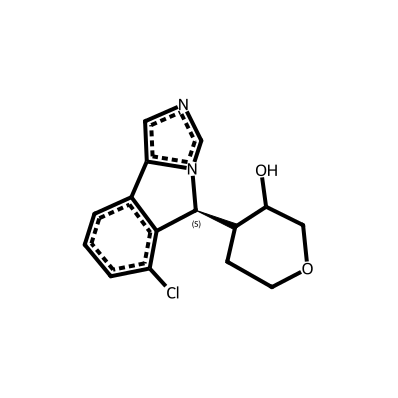 OC1COCCC1[C@H]1c2c(Cl)cccc2-c2cncn21